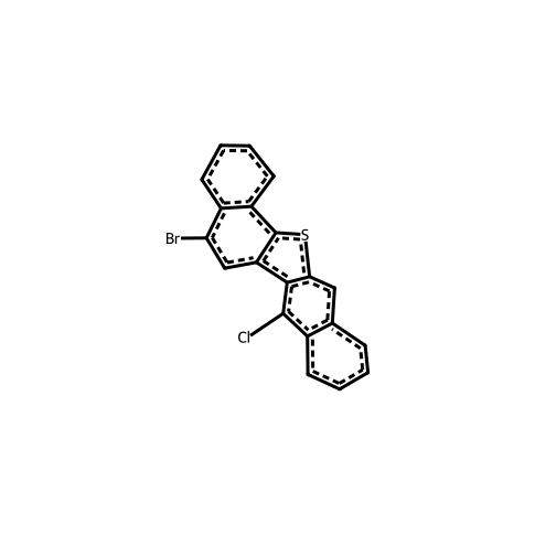 Clc1c2ccccc2cc2sc3c4ccccc4c(Br)cc3c12